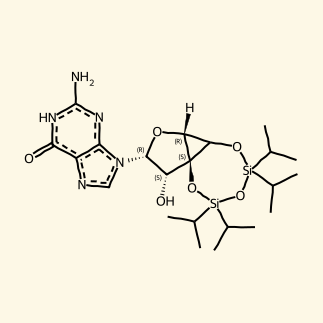 CC(C)[Si]1(C(C)C)OC2[C@H]3O[C@@H](n4cnc5c(=O)[nH]c(N)nc54)[C@@H](O)[C@@]23O[Si](C(C)C)(C(C)C)O1